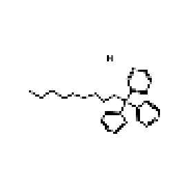 CCCCCCCCC[P](c1ccccc1)(c1ccccc1)c1ccccc1.I